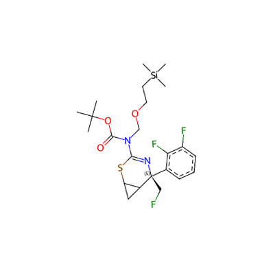 CC(C)(C)OC(=O)N(COCC[Si](C)(C)C)C1=N[C@](CF)(c2cccc(F)c2F)C2CC2S1